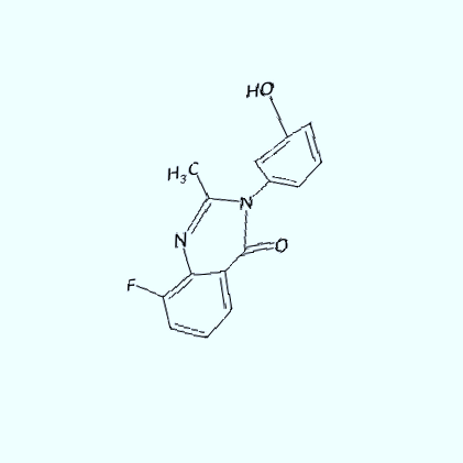 Cc1nc2c(F)cccc2c(=O)n1-c1cccc(O)c1